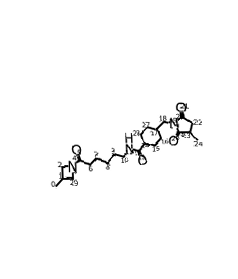 CC1CN(C(=O)CCCCCNC(=O)C2CCC(CN3C(=O)CC(C)C3=O)CC2)C1